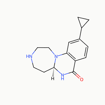 O=C1N[C@H]2CCNCCN2c2cc(C3CC3)ccc21